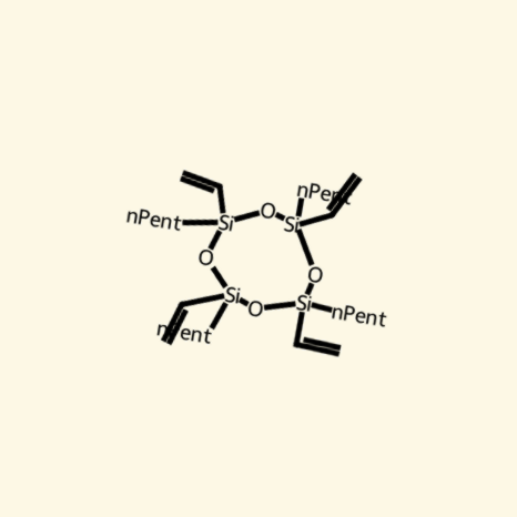 C=C[Si]1(CCCCC)O[Si](C=C)(CCCCC)O[Si](C=C)(CCCCC)O[Si](C=C)(CCCCC)O1